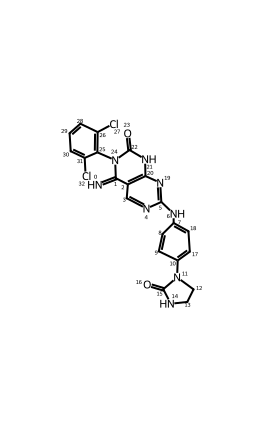 N=c1c2cnc(Nc3ccc(N4CCNC4=O)cc3)nc2[nH]c(=O)n1-c1c(Cl)cccc1Cl